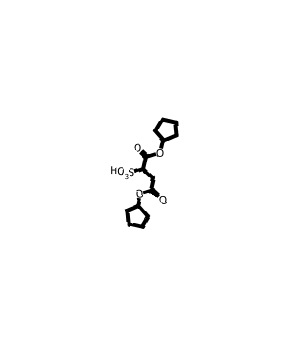 O=C(CC(C(=O)OC1CCCC1)S(=O)(=O)O)OC1CCCC1